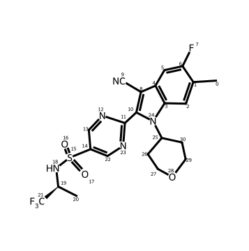 Cc1cc2c(cc1F)c(C#N)c(-c1ncc(S(=O)(=O)N[C@@H](C)C(F)(F)F)cn1)n2C1CCOCC1